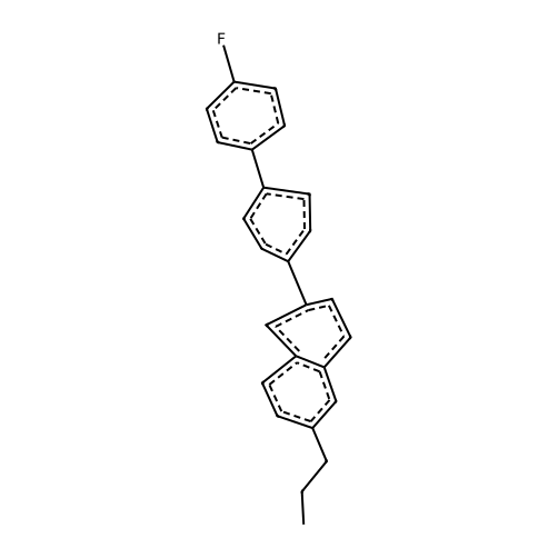 CCCc1ccc2cc(-c3ccc(-c4ccc(F)cc4)cc3)ccc2c1